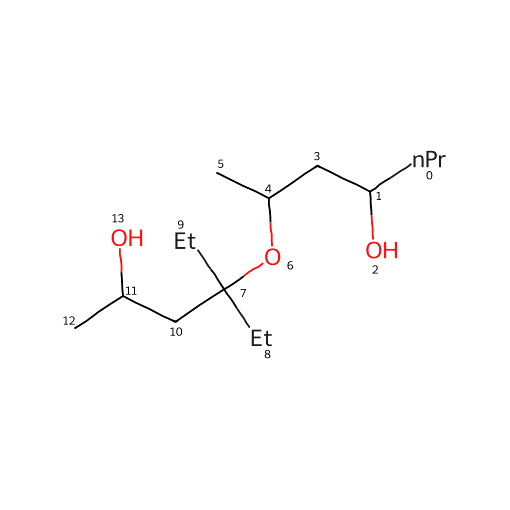 CCCC(O)CC(C)OC(CC)(CC)CC(C)O